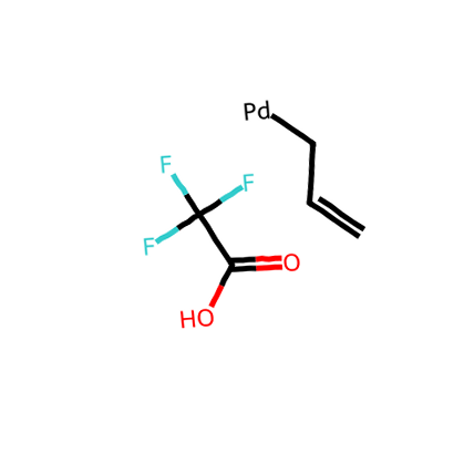 C=C[CH2][Pd].O=C(O)C(F)(F)F